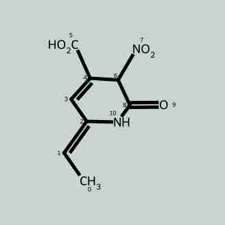 C/C=C1/C=C(C(=O)O)C([N+](=O)[O-])C(=O)N1